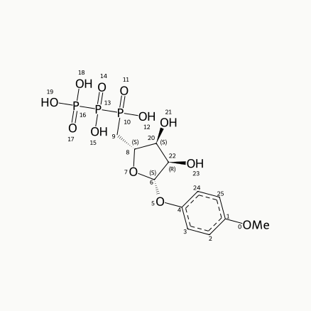 COc1ccc(O[C@@H]2O[C@H](CP(=O)(O)P(=O)(O)P(=O)(O)O)[C@@H](O)[C@H]2O)cc1